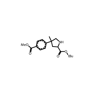 COC(=O)c1ccc(C2(C)CNC(C(=O)OC(C)(C)C)C2)cc1